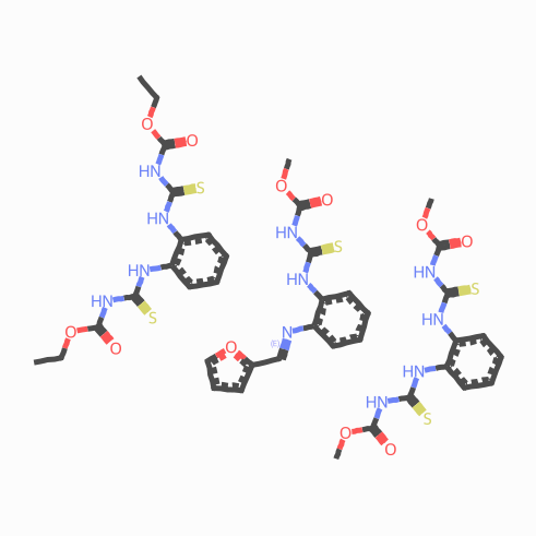 CCOC(=O)NC(=S)Nc1ccccc1NC(=S)NC(=O)OCC.COC(=O)NC(=S)Nc1ccccc1/N=C/c1ccco1.COC(=O)NC(=S)Nc1ccccc1NC(=S)NC(=O)OC